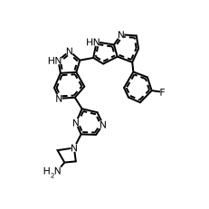 NC1CN(c2cncc(-c3cc4c(-c5cc6c(-c7cccc(F)c7)ccnc6[nH]5)n[nH]c4cn3)n2)C1